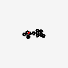 c1cc(-c2ccc(N(c3cccc(-c4ccc5ccccc5c4)c3)c3cccc4c3oc3ccccc34)cc2)cc(-c2ccccc2-n2c3ccccc3c3ccccc32)c1